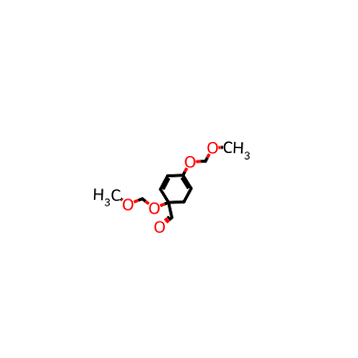 COCOC1=CCC(C=O)(OCOC)C=C1